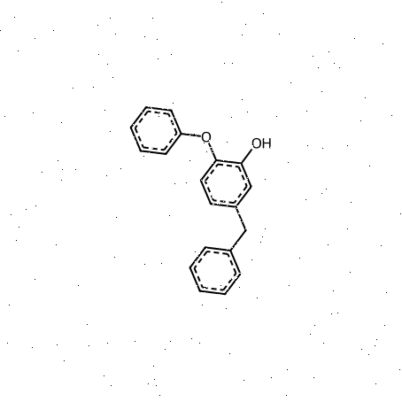 Oc1cc(Cc2ccccc2)ccc1Oc1ccccc1